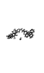 C/C(=C\CC[C@]1(C)CCc2c(C)c(O[Si](C)(C)C(C)(C)C)c(C)c(C)c2O1)CC/C=C(\C)CCC[P+](c1ccccc1)(c1ccccc1)c1ccccc1.[I-]